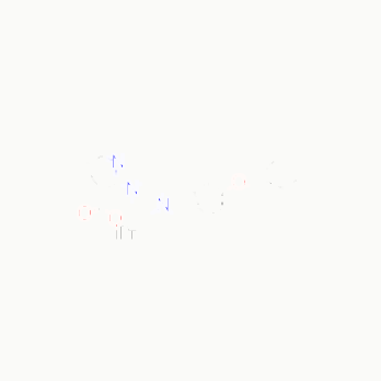 Cc1cccc(COc2ccc(CN3CCN(c4ncccc4C(=O)OC(C)C)CC3)cc2)c1